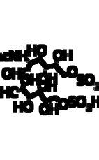 CC(=O)N[C@@H](C=O)[C@@H](O)[C@@H](O)[C@H](O)COS(=O)(=O)O.O=C[C@H](O)[C@@H](O)[C@@H](O)[C@H](O)COS(=O)(=O)O